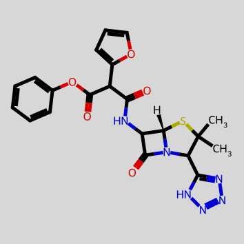 CC1(C)S[C@H]2C(NC(=O)C(C(=O)Oc3ccccc3)c3ccco3)C(=O)N2C1c1nnn[nH]1